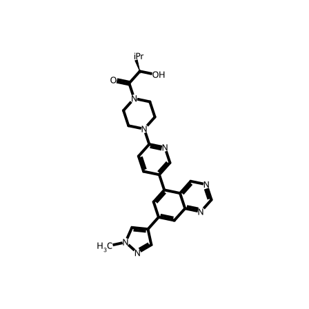 CC(C)[C@@H](O)C(=O)N1CCN(c2ccc(-c3cc(-c4cnn(C)c4)cc4ncncc34)cn2)CC1